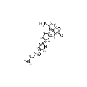 Bc1ccc2oc(=O)n(Cc3cccc(-c4ncc(OCCCN(C)C)cn4)c3)c2n1